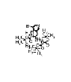 CC(C)(C)OC(=O)OC(=O)OC(C)(C)C.Cc1c(Br)cncc1CC(C)NC(=O)OC(C)(C)C